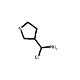 CCC(N)C1CC[N]C1